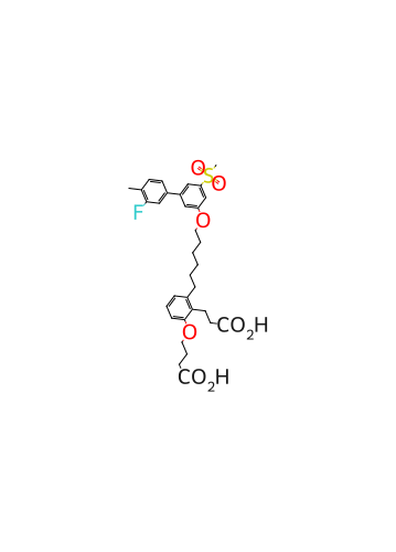 Cc1ccc(-c2cc(OCCCCCCc3cccc(OCCCC(=O)O)c3CCC(=O)O)cc(S(C)(=O)=O)c2)cc1F